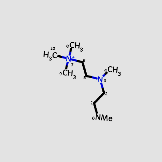 CNCCN(C)CC[N+](C)(C)C